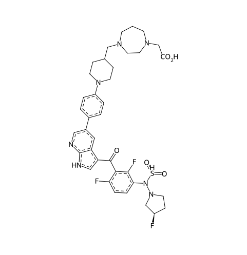 O=C(O)CN1CCCN(CC2CCN(c3ccc(-c4cnc5[nH]cc(C(=O)c6c(F)ccc(N(N7CC[C@@H](F)C7)[SH](=O)=O)c6F)c5c4)cc3)CC2)CC1